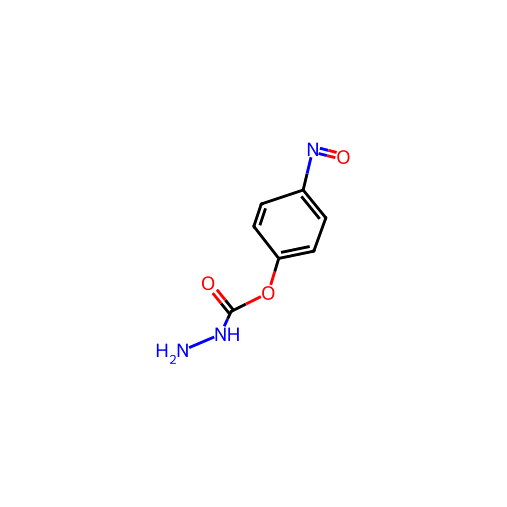 NNC(=O)Oc1ccc(N=O)cc1